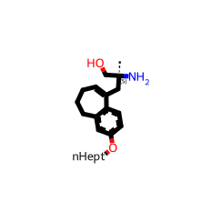 CCCCCCCOc1ccc2c(c1)CCCC=C2C[C@](C)(N)CO